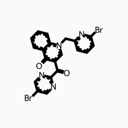 O=C(c1ncc(Br)cn1)c1cn(Cc2cccc(Br)n2)c2ccccc2c1=O